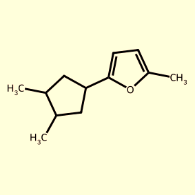 Cc1ccc(C2CC(C)C(C)C2)o1